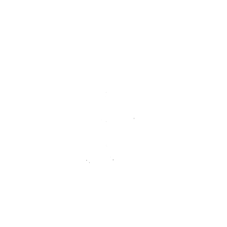 Clc1cccc(Cl)c1CON=C(c1ccccc1)C(Cl)N1CN(Cl)C=N1